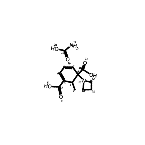 CC1C(C(=O)O)=CC=CC1(C(=O)O)N1CCC1.NC(=O)O